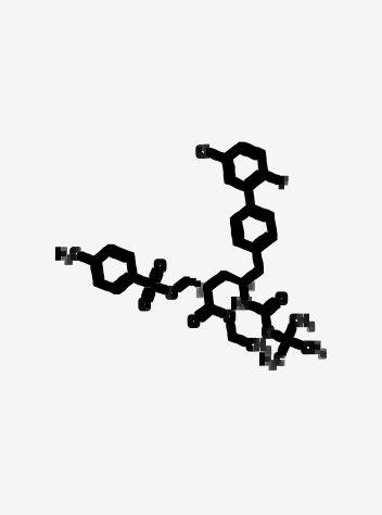 CCOC(=O)[C@H](COS(=O)(=O)c1ccc(C)cc1)C[C@@H](Cc1ccc(-c2cc(Cl)ccc2F)cc1)NC(=O)OC(C)(C)C